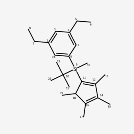 CCc1cc(CC)cc([Si](C)(C2=C(C)C(C)=C(C)C2C)C(C)(C)C)c1